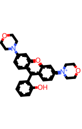 Oc1ccccc1-c1c2ccc(=[N+]3CCOCC3)cc-2oc2cc(N3CCOCC3)ccc12